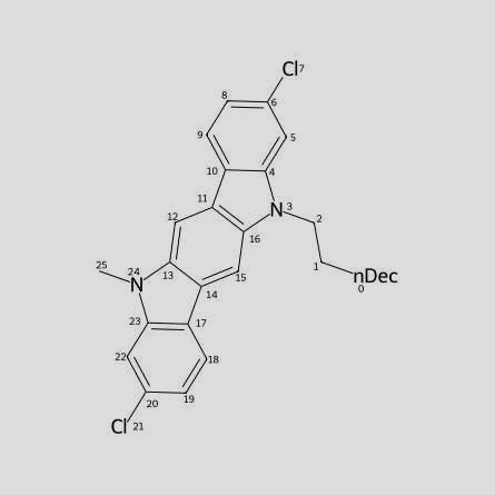 CCCCCCCCCCCCn1c2cc(Cl)ccc2c2cc3c(cc21)c1ccc(Cl)cc1n3C